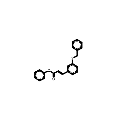 O=C(C=Cc1cccc(SCc2ccccc2)c1)Oc1ccccc1